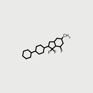 CC1CC(F)C2C(C1)CC(C1CCC(C3CCCCC3)CC1)C2(F)F